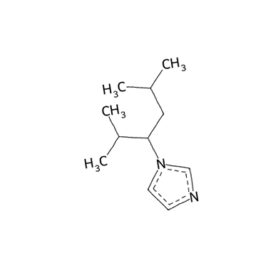 CC(C)CC(C(C)C)n1ccnc1